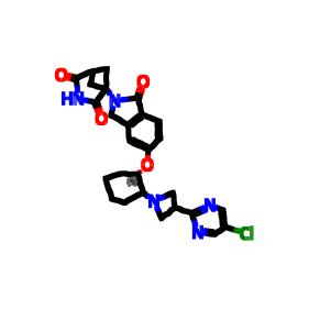 O=C1NC(=O)C2(N3Cc4cc(O[C@H]5CCCCC5N5CC(c6ncc(Cl)cn6)C5)ccc4C3=O)CC1C2